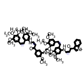 COc1ccc(C(=O)/C=C\NC2=CC(C)(OC)C(OC)C=C2/C=C\c2cc(OC)c(OC)c(OC)c2)cc1NCOc1cc(/C=C\c2cc(OC)c(OC)cc2N/C=C\C(=O)c2c[nH]c3ccccc23)cc(OC)c1OC